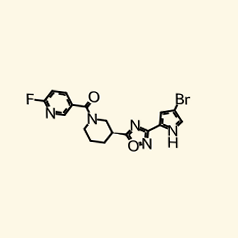 O=C(c1ccc(F)nc1)N1CCC[C@H](c2nc(-c3cc(Br)c[nH]3)no2)C1